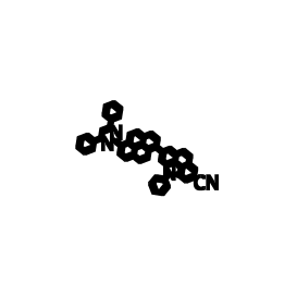 N#Cc1cc2ccc3cc(-c4ccc5ccc6c(-c7nc(-c8ccccc8)cc(-c8ccccc8)n7)ccc7ccc4c5c76)cc4c3c2c(c1)n4-c1ccccc1